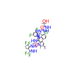 Cc1nc([C@H](Cc2cc(F)cc(F)c2)NC(=O)CNC2=C(C(=N)C(F)F)CCC2(F)F)c(-c2ccc(Cl)c3c(NC(=N)OC(=N)C(C)(C)O)nn(C)c23)cc1I